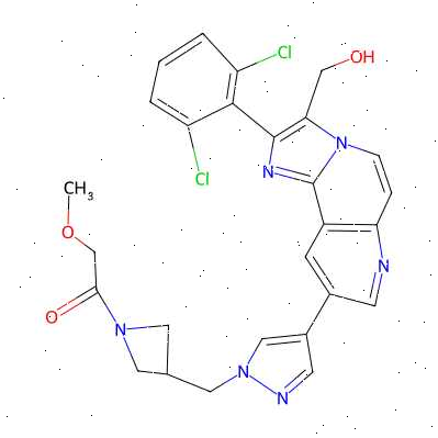 COCC(=O)N1CC(Cn2cc(-c3cnc4ccn5c(CO)c(-c6c(Cl)cccc6Cl)nc5c4c3)cn2)C1